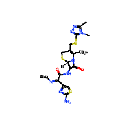 CO/N=C(\C(=O)N[C@@H]1C(=O)N2C(C(=O)O)=C(CSc3nnc(C)n3C)CS[C@H]12)c1csc(N)n1